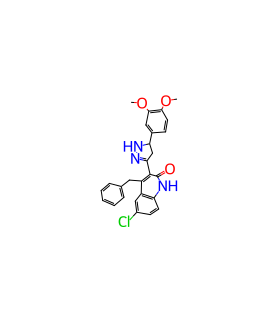 COc1ccc(C2CC(c3c(Cc4ccccc4)c4cc(Cl)ccc4[nH]c3=O)=NN2)cc1OC